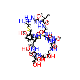 CC[C@H](C)[C@H](NC(=O)CN)C(=O)NCC(=O)N[C@H]1C[S+]([O-])c2[nH]c3c(CSCCN)c(O)ccc3c2C[C@@H](CO)NC(=O)[C@H]([C@@H](C)[C@@H](O)CO)NC(=O)C[C@@H](O)CNC(=O)[C@H](CC(N)=O)NC1=O